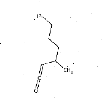 CC(C)CCCC(C)C=C=O